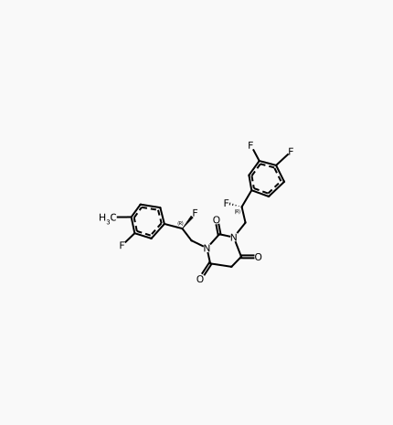 Cc1ccc([C@@H](F)CN2C(=O)CC(=O)N(C[C@H](F)c3ccc(F)c(F)c3)C2=O)cc1F